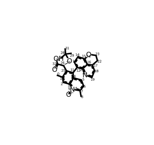 Cc1cc2c(ccc(C)[n+]2[O-])c(-c2ccc3c4c(ccnc24)CCO3)c1[C@@H](OC(C)(C)C)C(=O)O